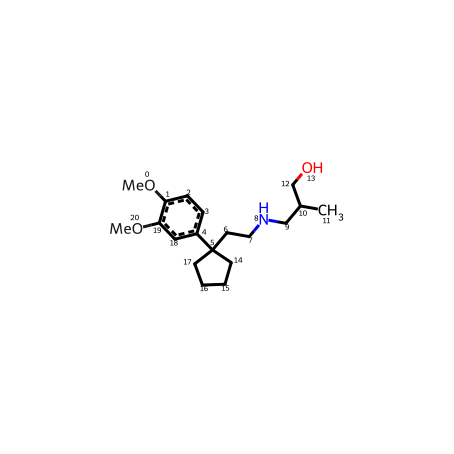 COc1ccc(C2(CCNCC(C)CO)CCCC2)cc1OC